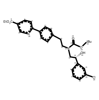 CCOC(=O)c1ccc(-c2ccc(CCN(C[C@H](O)c3cccc(Cl)c3)C(=O)OC(C)(C)C)cc2)nc1